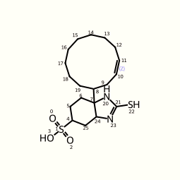 O=S(=O)(O)C1CCC2(C3C/C=C\CCCCCCCC3)NC(S)=NC2C1